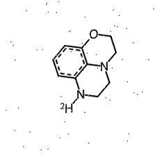 [2H]N1CCN2CCOc3cccc1c32